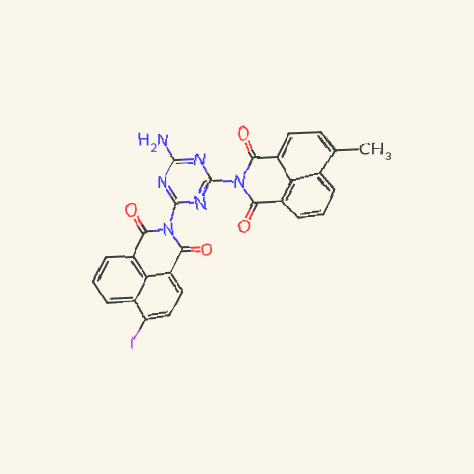 Cc1ccc2c3c(cccc13)C(=O)N(c1nc(N)nc(N3C(=O)c4cccc5c(I)ccc(c45)C3=O)n1)C2=O